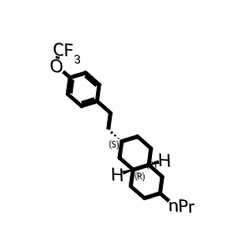 CCCC1CC[C@@H]2C[C@H](CCc3ccc(OC(F)(F)F)cc3)CC[C@@H]2C1